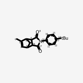 CC1=CC2CC1C1C(=O)N(c3ccc(C(C)(C)C)cc3)C(=O)C21